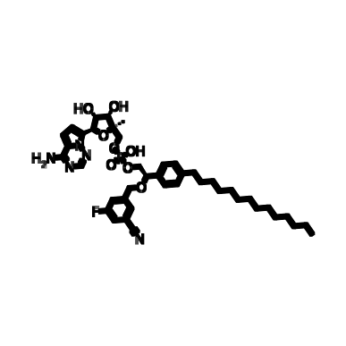 CCCCCCCCCCCCCCc1ccc([C@H](COP(=O)(O)OC[C@@]2(C)O[C@@H](c3ccc4c(N)ncnn34)[C@H](O)[C@@H]2O)OCc2cc(F)cc(C#N)c2)cc1